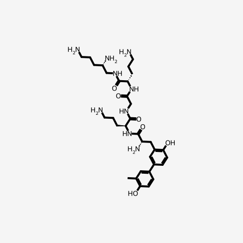 Cc1cc(-c2ccc(O)c(C[C@H](N)C(=O)N[C@@H](CCCN)C(=O)NCC(=O)N[C@@H](CCCN)C(=O)NC[C@@H](N)CCCN)c2)ccc1O